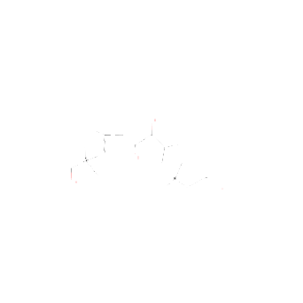 CC(CC(O)C(O)C(C)CC(C)(C)CCO)CC(C)(C)CO